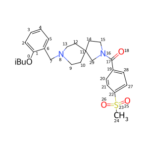 CC(C)COc1ccccc1CN1CCC2(CC1)CCN(C(=O)c1ccc(S(C)(=O)=O)cc1)C2